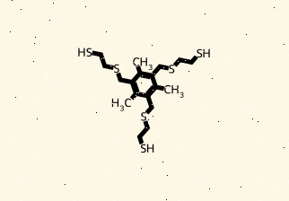 Cc1c(CSCCS)c(C)c(CSCCS)c(C)c1CSCCS